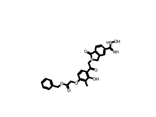 Cc1c(OCC(=O)OCc2ccccc2)ccc(C(=O)CN2Cc3cc(C(=N)NO)ccc3C2=O)c1O